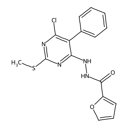 CSc1nc(Cl)c(-c2ccccc2)c(NNC(=O)c2ccco2)n1